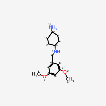 COc1cc(CNC2CCC(N)CC2)cc(OC)c1